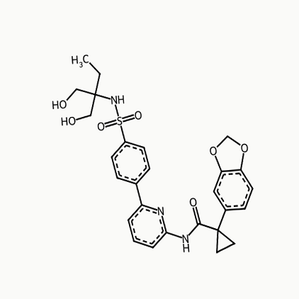 CCC(CO)(CO)NS(=O)(=O)c1ccc(-c2cccc(NC(=O)C3(c4ccc5c(c4)OCO5)CC3)n2)cc1